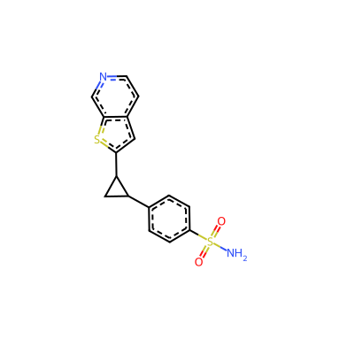 NS(=O)(=O)c1ccc(C2CC2c2cc3ccncc3s2)cc1